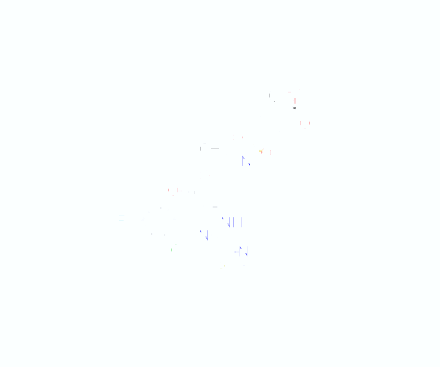 CCOC(=O)C1=C(C2CCN(S(=O)(=O)[C@H]3C[C@](C)(C(=O)O)C3)CC2)NC(c2nccs2)=NC1c1ccc(F)cc1Cl